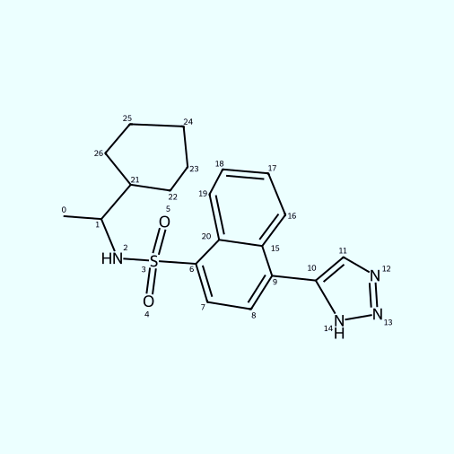 CC(NS(=O)(=O)c1ccc(-c2cnn[nH]2)c2ccccc12)C1CCCCC1